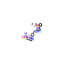 O=C1NC(=O)/C(=C\c2ccnc(N3CCC(CNCc4cc(F)cc(-c5ccccc5OC(F)(F)F)n4)CC3)n2)S1